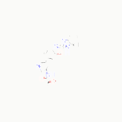 CCCc1nc(-c2nc3ccc(-c4cncc(NC(=O)C(=O)CC)c4)cc3o2)[nH]c1C